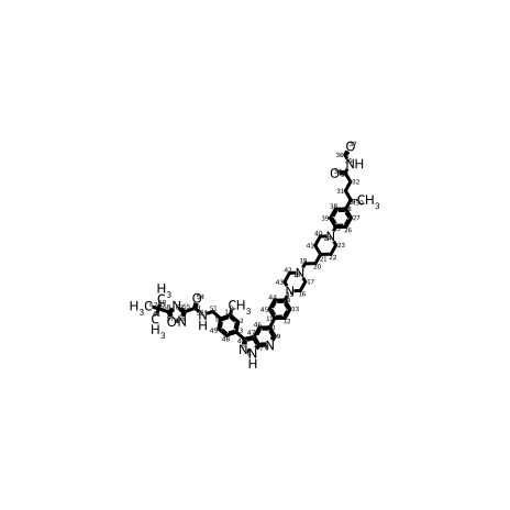 Cc1cc(-c2n[nH]c3ncc(-c4ccc(N5CCN(CCC6CCN(c7ccc([C@@H](C)CCC(=O)NC=O)cc7)CC6)CC5)cc4)cc23)ccc1CNC(=O)c1noc(C(C)(C)C)n1